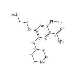 COCCOc1cc(NI)c(C(N)=O)cc1OC1CCNCC1